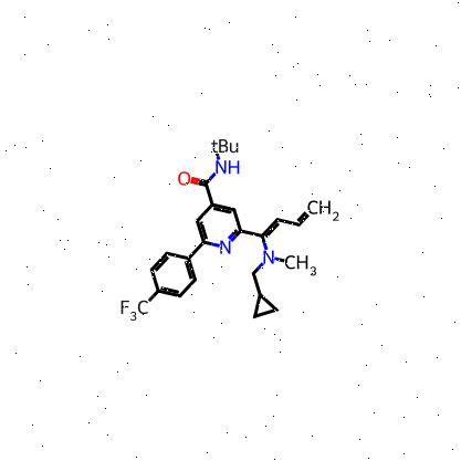 C=C/C=C(/c1cc(C(=O)NC(C)(C)C)cc(-c2ccc(C(F)(F)F)cc2)n1)N(C)CC1CC1